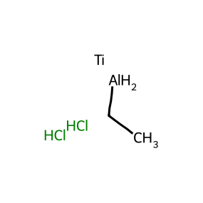 C[CH2][AlH2].Cl.Cl.[Ti]